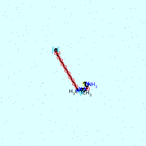 CCCN(Cc1cnc(CN(C)CCOCCOCCOCCOCCOCCOCCOCCOCCOCCOCCC(=O)Oc2c(F)c(F)cc(F)c2F)c(C(F)(F)F)c1)C(=O)C1=Cc2sccc2N=C(N)C1